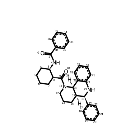 O=C(N[C@@H]1CCCC[C@@H]1C(=O)N1CCC[C@@H]2[C@H](c3ccccc3)Nc3ccccc3[C@@H]21)c1ccccc1